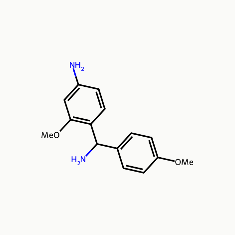 COc1ccc(C(N)c2ccc(N)cc2OC)cc1